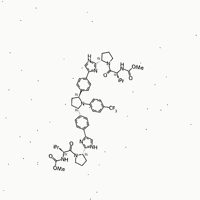 COC(=O)N[C@H](C(=O)N1CCC[C@H]1c1nc(-c2ccc([C@@H]3CC[C@@H](c4ccc(-c5c[nH]c([C@@H]6CCCN6C(=O)[C@@H](NC(=O)OC)C(C)C)n5)cc4)N3c3ccc(C(F)(F)F)cc3)cc2)c[nH]1)C(C)C